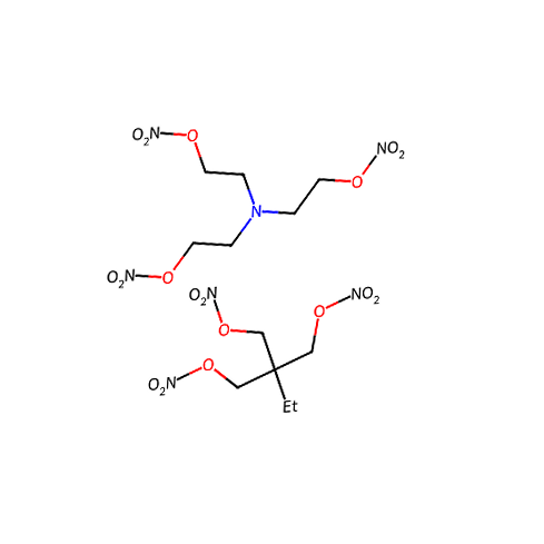 CCC(CO[N+](=O)[O-])(CO[N+](=O)[O-])CO[N+](=O)[O-].O=[N+]([O-])OCCN(CCO[N+](=O)[O-])CCO[N+](=O)[O-]